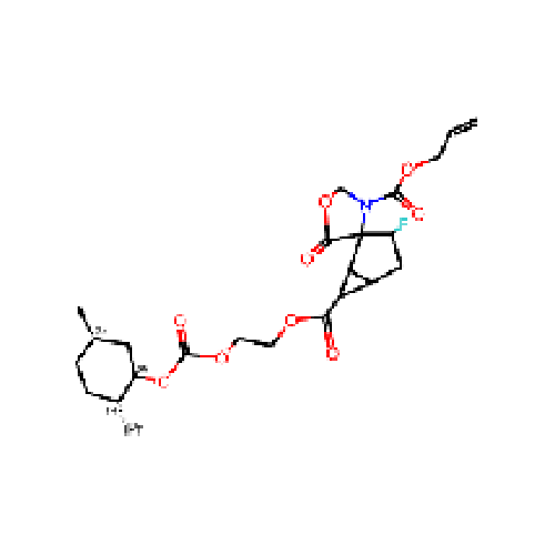 C=CCOC(=O)N1COC(=O)C12C(F)CC1C(C(=O)OCCOC(=O)O[C@@H]3C[C@H](C)CC[C@H]3C(C)C)C12